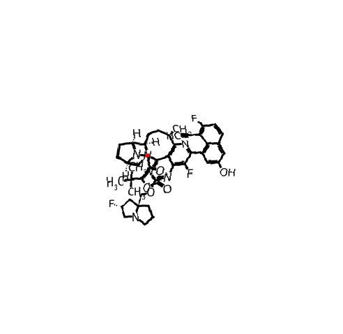 C#Cc1c(F)ccc2cc(O)cc(-c3nc4c5c(nc(OC[C@@]67CCCN6C[C@H](F)C7)nc5c3F)N3C[C@H]5CC[C@@H]([C@H]3CC[C@H]4C)N5Cc3oc(=O)oc3C(C)(C)C)c12